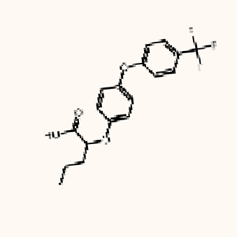 CCCC(Oc1ccc(Oc2ccc(C(F)(F)F)cc2)cc1)C(=O)O